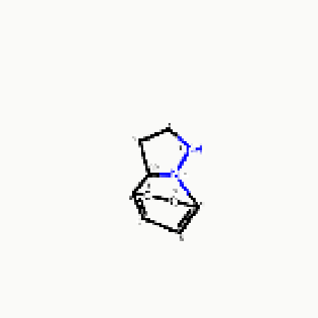 C1=C2CCC(=C1)N1NCCC21